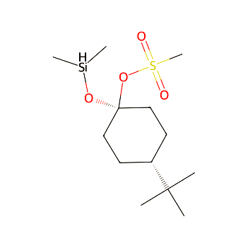 C[SiH](C)O[C@]1(OS(C)(=O)=O)CC[C@H](C(C)(C)C)CC1